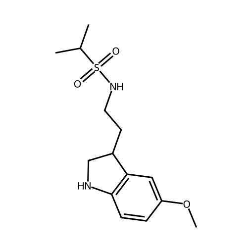 COc1ccc2c(c1)C(CCNS(=O)(=O)C(C)C)CN2